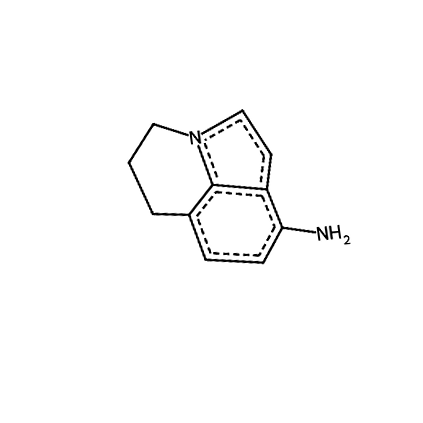 Nc1ccc2c3c1ccn3CCC2